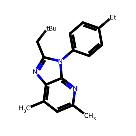 [CH2]Cc1ccc(-n2c(CC(C)(C)C)nc3c(C)cc(C)nc32)cc1